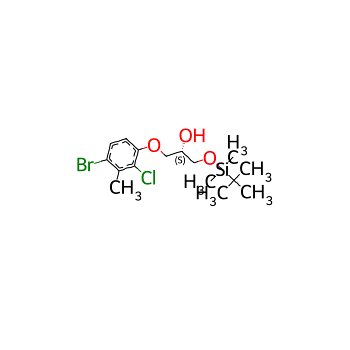 Cc1c(Br)ccc(OC[C@H](O)CO[Si](C)(C)C(C)(C)C)c1Cl